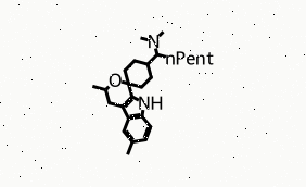 CCCCCC(C1CCC2(CC1)OC(C)Cc1c2[nH]c2ccc(C)cc12)N(C)C